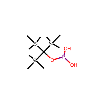 C[Si](C)(C)C(OP(O)O)([Si](C)(C)C)[Si](C)(C)C